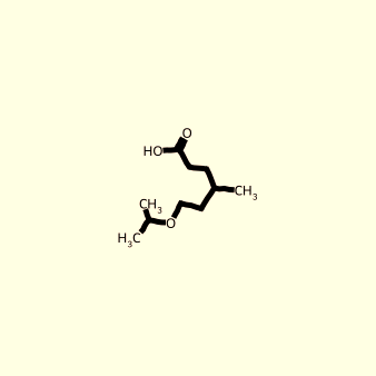 CC(CCOC(C)C)CCC(=O)O